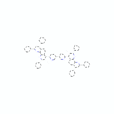 N#Cc1c(-c2ccccc2)nc2c(ccc3c(-c4ccccc4)cc(-c4ccccc4)nc32)c1-c1ccc(-c2ccc(-c3c(C#N)c(-c4ccccc4)nc4c3ccc3c(-c5ccccc5)cc(-c5ccccc5)nc34)nc2)cn1